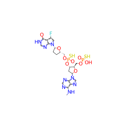 CNc1ncnc2c1ncn2[C@H]1C[C@H](OP(=O)(S)OC[C@@H]2CC[C@H](n3cc(F)c4c(=O)[nH]cnc43)O2)[C@@H](COP(=O)(O)S)O1